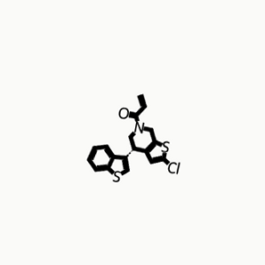 C=CC(=O)N1Cc2sc(Cl)cc2[C@H](c2csc3ccccc23)C1